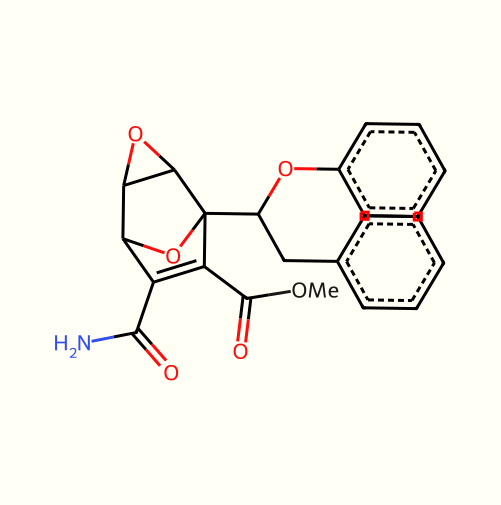 COC(=O)C1=C(C(N)=O)C2OC1(C(Cc1ccccc1)Oc1ccccc1)C1OC21